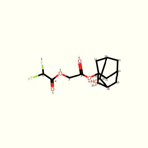 O=C(COC(=O)C(F)F)OC12CC3CC(C1)C(O)C(C3)C2